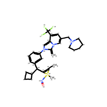 C=C1N2C=C(CN3CCCCC3)C=C(C(F)(F)F)C2=CN1c1cccc(C(C2=C(C)S2(C)N=O)C2CCC2)c1